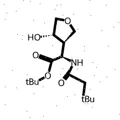 CC(C)(C)CC(=O)N[C@@H](C(=O)OC(C)(C)C)[C@@H]1COC[C@H]1O